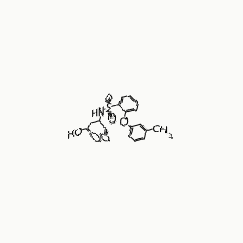 Cc1cccc(Oc2ccccc2S(=O)(=O)NC(C=O)CC(=O)O)c1